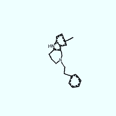 Cc1ccc2[nH]c3c(c2c1)CN(CCc1ccccc1)CCC3